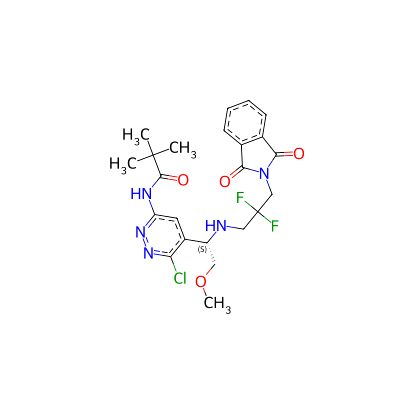 COC[C@@H](NCC(F)(F)CN1C(=O)c2ccccc2C1=O)c1cc(NC(=O)C(C)(C)C)nnc1Cl